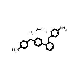 CCC.Nc1ccc(Cc2ccc(-c3ccccc3Cc3ccc(N)cc3)cc2)cc1